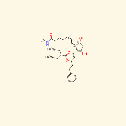 C#CCC(CC#C)C(=O)OC(C=C[C@@H]1[C@@H](C/C=C\CCCC(=O)NCC)[C@@H](O)C[C@H]1O)CCc1ccccc1